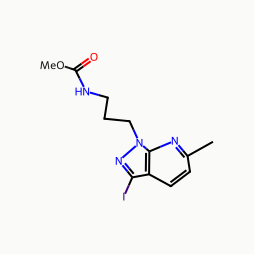 COC(=O)NCCCn1nc(I)c2ccc(C)nc21